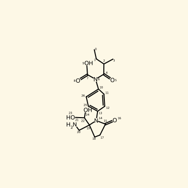 CCC(C)C(=O)N(C(=O)O)c1ccc(N2C(=O)CCC2(CN)C(O)O)cc1